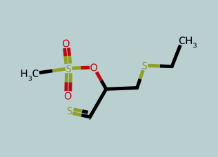 CCSCC([C]=S)OS(C)(=O)=O